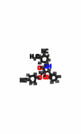 [C-]#[N+]c1ccc(NC(=O)[C@@](O)(COc2ccc(C#N)cc2)Cc2ccccc2)cc1C